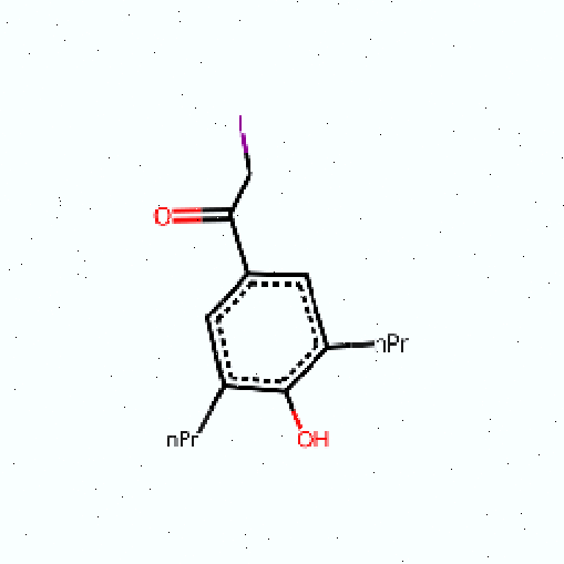 CCCc1cc(C(=O)CI)cc(CCC)c1O